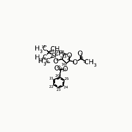 CC(=O)OC1OCC(O[Si](C)(C)C(C)(C)C)[C@H]1OC(=O)c1ccccc1